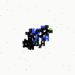 N=C(/N=C(/N[C@H]1C2CCC(CC2)[C@@H]1C(=O)O)c1ccc[nH]1)C(=N)c1cc(F)cnc1N